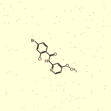 COc1ccnc(NC(=O)c2ccc(Br)cc2Cl)c1